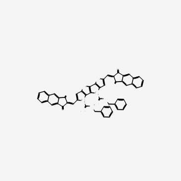 O=C1C(=Cc2cc3c(s2)c2sc4cc(C=C5C(=O)c6cc7ccccc7cc6C5=O)n(C(=O)OCc5ccccc5)c4c2n3C(=O)OCc2ccccc2)C(=O)c2cc3ccccc3cc21